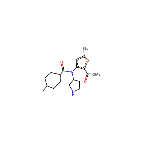 COC(=O)c1sc(C(C)(C)C)cc1N(C(=O)C1CCC(C)CC1)C1CCNC1